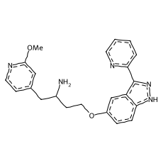 COc1cc(CC(N)CCOc2ccc3[nH]nc(-c4ccccn4)c3c2)ccn1